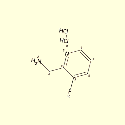 Cl.Cl.NCc1ncccc1F